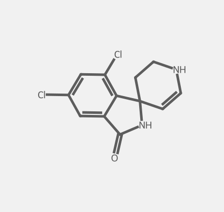 O=C1NC2(C=CNCC2)c2c(Cl)cc(Cl)cc21